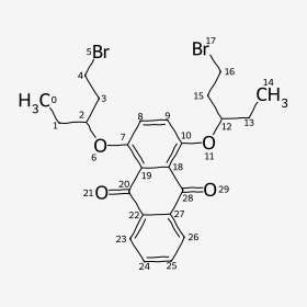 CCC(CCBr)Oc1ccc(OC(CC)CCBr)c2c1C(=O)c1ccccc1C2=O